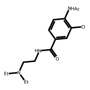 CCN(CC)CCNC(=O)c1ccc(NC(C)=O)c(Cl)c1